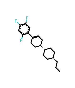 CCC[C@H]1CC[C@H](C2CC=C(c3cc(F)c(F)cc3F)CC2)CC1